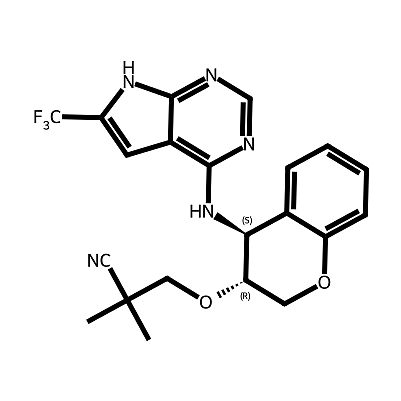 CC(C)(C#N)CO[C@H]1COc2ccccc2[C@@H]1Nc1ncnc2[nH]c(C(F)(F)F)cc12